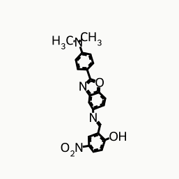 CN(C)c1ccc(-c2nc3cc(/N=C/c4cc([N+](=O)[O-])ccc4O)ccc3o2)cc1